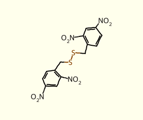 O=[N+]([O-])c1ccc(CSSCc2ccc([N+](=O)[O-])cc2[N+](=O)[O-])c([N+](=O)[O-])c1